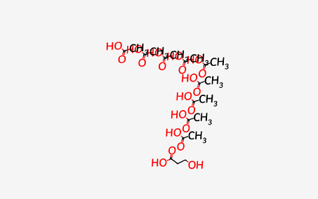 CC(=O)O.CC(=O)O.CC(=O)O.CC(=O)O.CC(=O)O.CC(=O)O.CC(=O)O.CC(=O)O.CC(=O)O.O=C(O)CCO